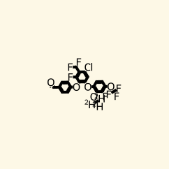 [2H]C([2H])([2H])Oc1c(Oc2cc(Cl)c(C(F)F)c(F)c2Oc2ccc([C]=O)cc2)ccc(OC(F)(F)F)c1F